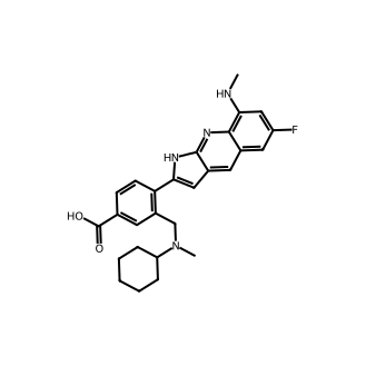 CNc1cc(F)cc2cc3cc(-c4ccc(C(=O)O)cc4CN(C)C4CCCCC4)[nH]c3nc12